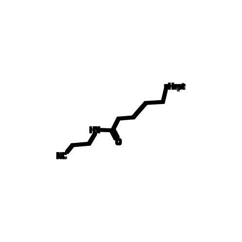 CCCCCCCCCCCC(=O)NCCC#N